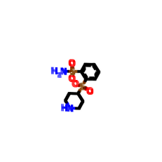 NS(=O)(=O)c1ccccc1S(=O)(=O)C1CCNCC1